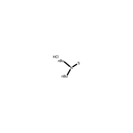 CCCC[N]([Ti])CCCC.Cl